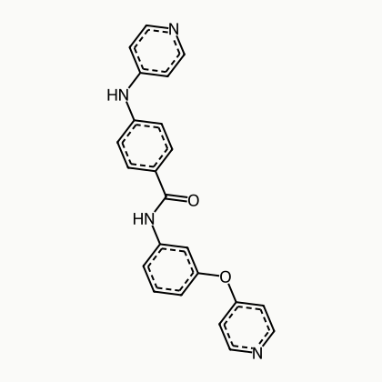 O=C(Nc1cccc(Oc2ccncc2)c1)c1ccc(Nc2ccncc2)cc1